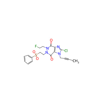 CC#CCn1c(Cl)nc2c(=O)n(CCF)n(CCS(=O)(=O)c3ccccc3)c(=O)c21